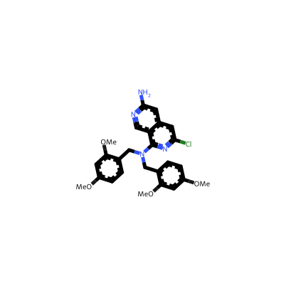 COc1ccc(CN(Cc2ccc(OC)cc2OC)c2nc(Cl)cc3cc(N)ncc23)c(OC)c1